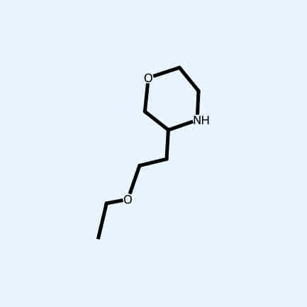 CCOCCC1COCCN1